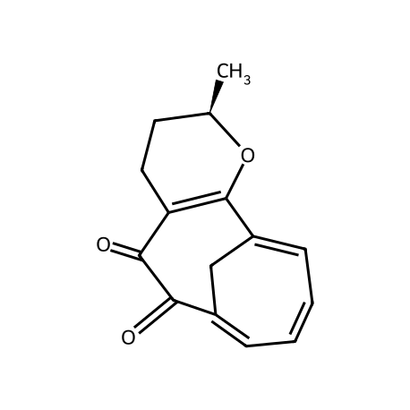 C[C@@H]1CCC2=C(O1)C1=CC=CC=C(C1)C(=O)C2=O